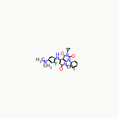 CN(C)c1ccc(Nc2cc(=O)n(C)c3c2c(=O)n(C2CC2)c(=O)n3-c2ccccc2)c(F)c1